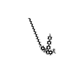 CCCCCCCCCCCCCCCCCCCCCCOc1ccc(S(=O)(=O)c2cnc3ccc([S+](C)[O-])cc3c2N2CCC(N3CCC(N4CCN(C)CC4)CC3)CC2)cc1